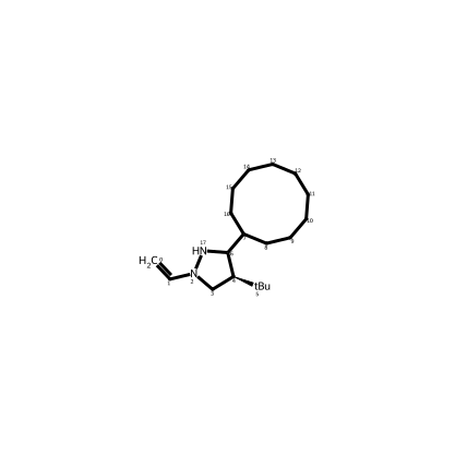 C=CN1C[C@H](C(C)(C)C)C(C2CCCCCCCCC2)N1